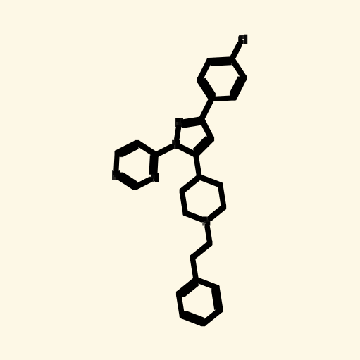 Clc1ccc(-c2cc(C3CCN(CCc4ccccc4)CC3)n(-c3ccncn3)n2)cc1